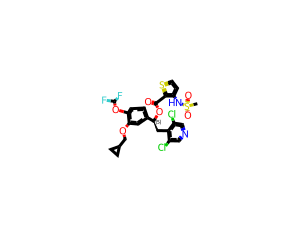 CS(=O)(=O)Nc1ccsc1C(=O)O[C@@H](Cc1c(Cl)cncc1Cl)c1ccc(OC(F)F)c(OCC2CC2)c1